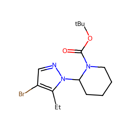 CCc1c(Br)cnn1C1CCCCN1C(=O)OC(C)(C)C